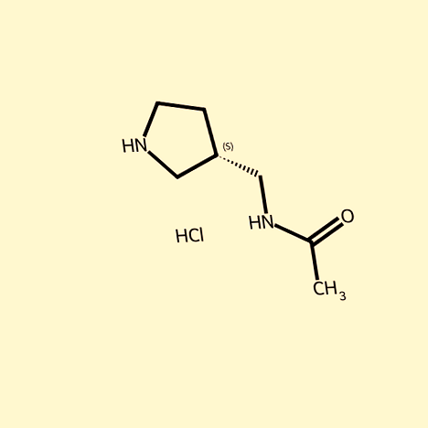 CC(=O)NC[C@H]1CCNC1.Cl